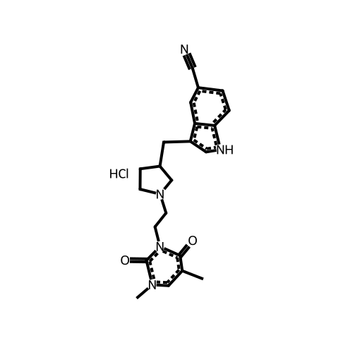 Cc1cn(C)c(=O)n(CCN2CCC(Cc3c[nH]c4ccc(C#N)cc34)C2)c1=O.Cl